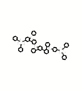 c1ccc(-c2nc(-c3ccccc3)nc(-c3ccc(-n4c5ccccc5c5c(-c6ccc7c(c6)c6ccccc6n7-c6ccc7c(c6)c6cc(-c8nc(-c9ccccc9)nc(-c9ccccc9)n8)ccc6n7-c6ccccc6)cccc54)cc3)n2)cc1